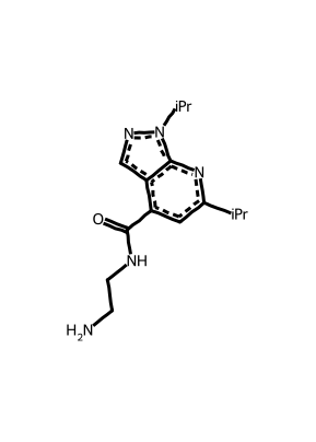 CC(C)c1cc(C(=O)NCCN)c2cnn(C(C)C)c2n1